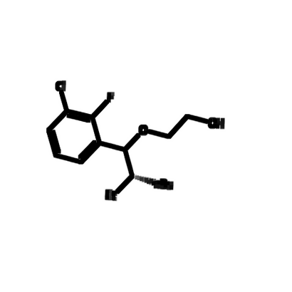 CCCC[C@H](CC)C(OCCO)c1cccc(Cl)c1F